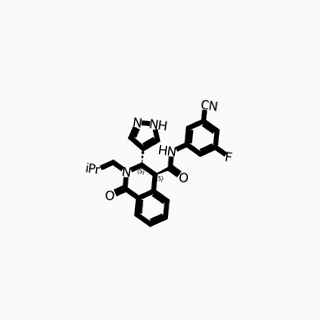 CC(C)CN1C(=O)c2ccccc2[C@H](C(=O)Nc2cc(F)cc(C#N)c2)[C@H]1c1cn[nH]c1